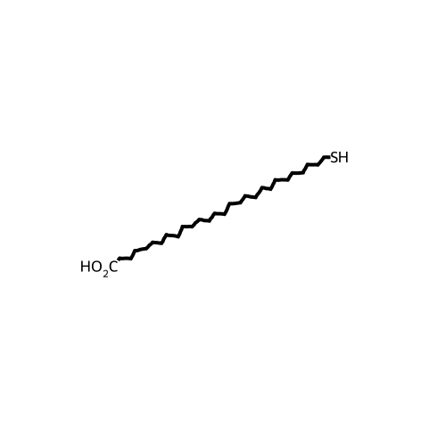 O=C(O)CCCCCCCCCCCCCCCCCCCCCCCCCCCS